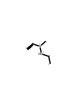 C=CN(C)NCC